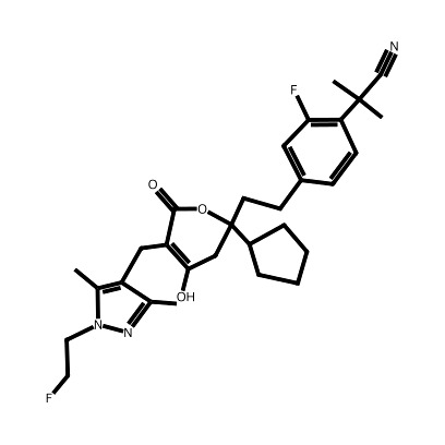 Cc1nn(CCF)c(C)c1CC1=C(O)CC(CCc2ccc(C(C)(C)C#N)c(F)c2)(C2CCCC2)OC1=O